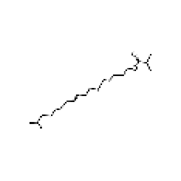 CC(C)CCCCCC=CCCCCCCCCOC(=O)C(C)C